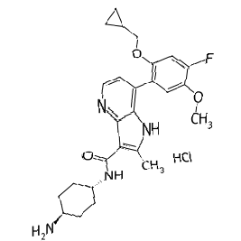 COc1cc(-c2ccnc3c(C(=O)N[C@H]4CC[C@H](N)CC4)c(C)[nH]c23)c(OCC2CC2)cc1F.Cl